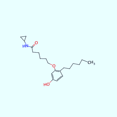 CCCCCCc1ccc(O)cc1OCCCCCC(=O)NC1CC1